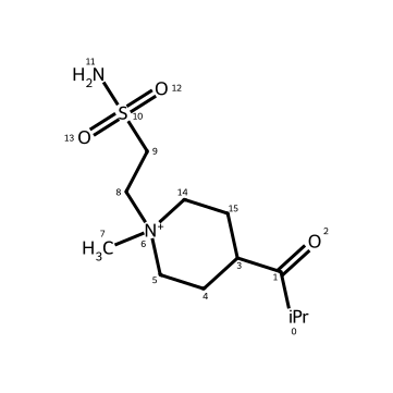 CC(C)C(=O)C1CC[N+](C)(CCS(N)(=O)=O)CC1